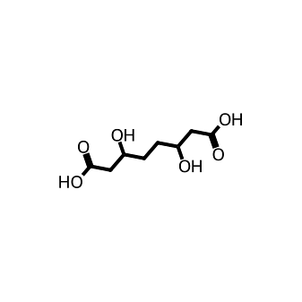 O=C(O)CC(O)CCC(O)CC(=O)O